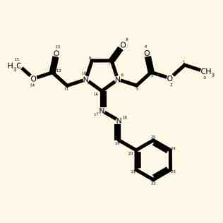 CCOC(=O)CN1C(=O)CN(CC(=O)OC)C1=NN=Cc1ccccc1